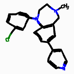 CN1CCN(c2cccc(Cl)c2)c2ccc(-c3ccncc3)cc2C1